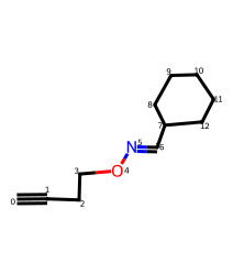 C#CCCO/N=[C]/C1CCCCC1